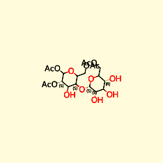 CC(=O)OCC1O[C@@H](O[C@@H]2C(COC(C)=O)OC(OC(C)=O)[C@@H](OC(C)=O)C2O)[C@@H](O)C(O)[C@H]1O